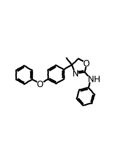 CC1(c2ccc(Oc3ccccc3)cc2)COC(Nc2ccccc2)=N1